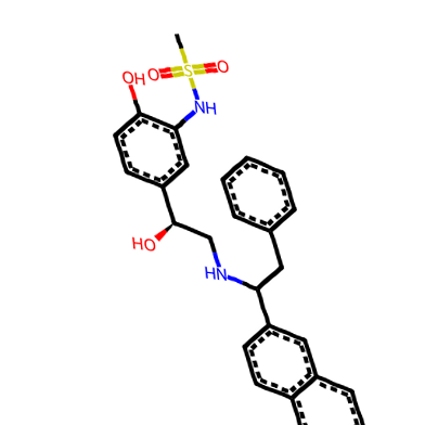 CS(=O)(=O)Nc1cc([C@H](O)CNC(Cc2ccccc2)c2ccc3ccccc3c2)ccc1O